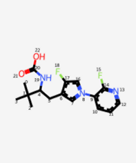 CC(C)(C)C(Cc1cn(-c2cccnc2F)cc1F)NC(=O)O